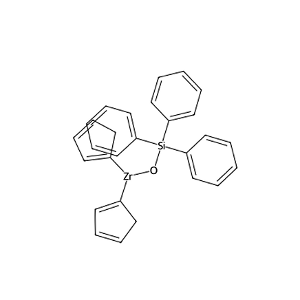 C1=CC[C]([Zr]([O][Si](c2ccccc2)(c2ccccc2)c2ccccc2)[C]2=CC=CC2)=C1